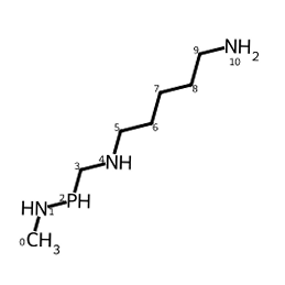 CNPCNCCCCCN